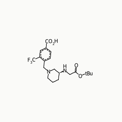 CC(C)(C)OC(=O)CN[C@H]1CCCN(Cc2ccc(C(=O)O)cc2C(F)(F)F)C1